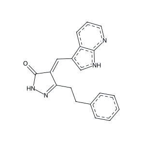 O=C1NN=C(CCc2ccccc2)C1=Cc1c[nH]c2ncccc12